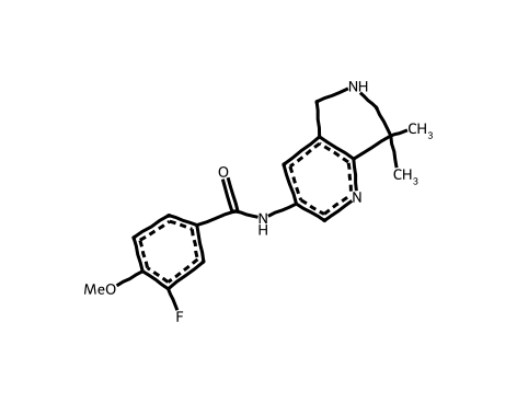 COc1ccc(C(=O)Nc2cnc3c(c2)CNCC3(C)C)cc1F